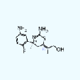 C/C(CO)=C1\C[C@@](C)(c2cc(N)ccc2F)N=C(N)S1